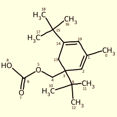 CC1=CC(COC(=O)O)(C(C)(C)C)CC(C(C)(C)C)=C1